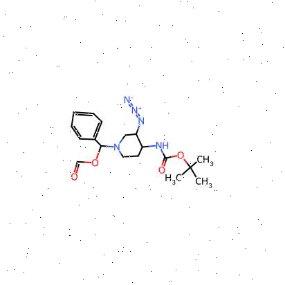 CC(C)(C)OC(=O)NC1CCN(C(OC=O)c2ccccc2)CC1N=[N+]=[N-]